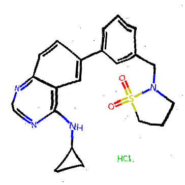 Cl.O=S1(=O)CCCN1Cc1cccc(-c2ccc3ncnc(NC4CC4)c3c2)c1